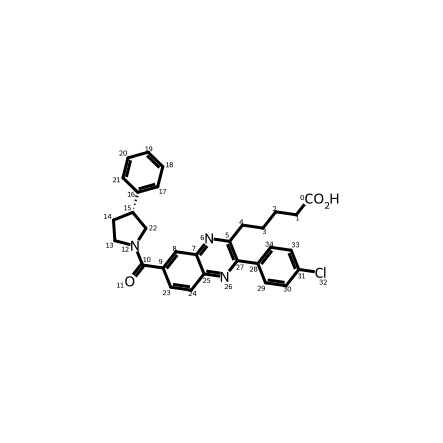 O=C(O)CCCCc1nc2cc(C(=O)N3CC[C@H](c4ccccc4)C3)ccc2nc1-c1ccc(Cl)cc1